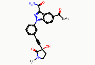 CNC(=O)c1ccc2c(c1)c(C(N)=O)nn2-c1cccc(C#C[C@]2(O)CCN(C)C2=O)c1